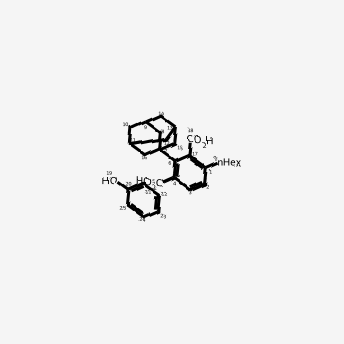 CCCCCCc1ccc(C(=O)O)c(C23CC4CC(CC(C4)C2)C3)c1C(=O)O.Oc1ccccc1